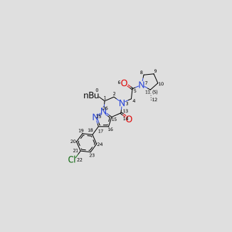 CCCCC1CN(CC(=O)N2CCC[C@@H]2C)C(=O)c2cc(-c3ccc(Cl)cc3)nn21